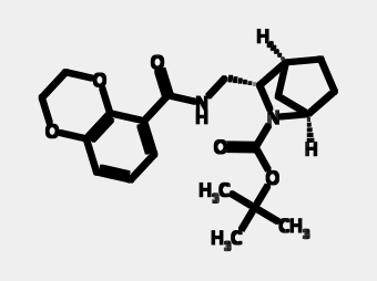 CC(C)(C)OC(=O)N1[C@@H]2CC[C@@H](C2)[C@H]1CNC(=O)c1cccc2c1OCCO2